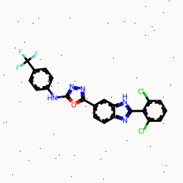 FC(F)(F)c1ccc(Nc2nnc(-c3ccc4nc(-c5c(Cl)cccc5Cl)[nH]c4c3)o2)cc1